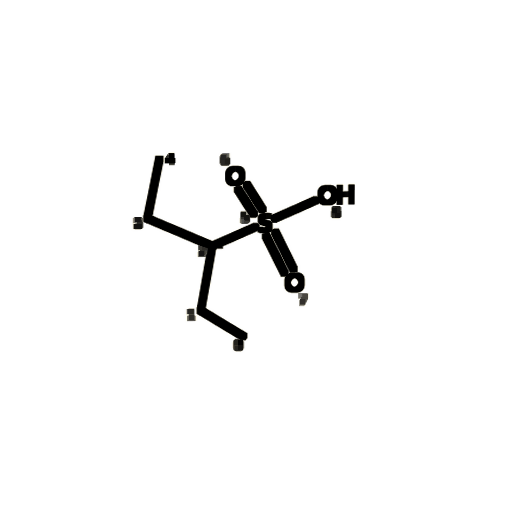 CC[C](CC)S(=O)(=O)O